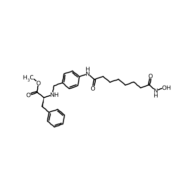 COC(=O)[C@H](Cc1ccccc1)NCc1ccc(NC(=O)CCCCCCC(=O)NO)cc1